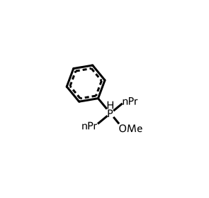 CCC[PH](CCC)(OC)c1ccccc1